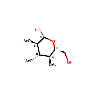 CC(=O)O[C@@H]1[C@@H](OC(C)=O)[C@H](O)O[C@H](CO)[C@H]1OC(C)=O